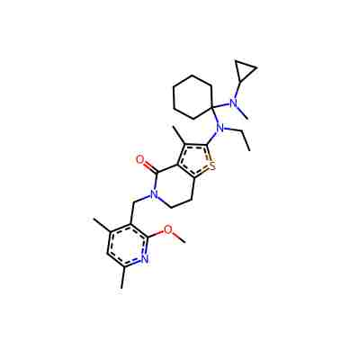 CCN(c1sc2c(c1C)C(=O)N(Cc1c(C)cc(C)nc1OC)CC2)C1(N(C)C2CC2)CCCCC1